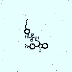 CCCCc1ccc(NS(=O)(=O)NCCc2c(-c3ccc(OC)cc3)[nH]c3ccccc23)cc1